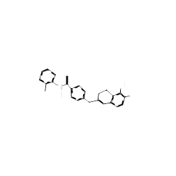 C=C(Nc1ccccc1C)c1ccc(CC2=Cc3ccc(Cl)c(Cl)c3CC2)cc1